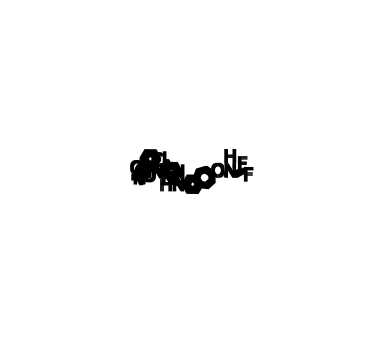 CN(C)S(=O)(=O)c1ccccc1Nc1nc(Nc2ccc3c(c2)CCC(OCNCC(F)F)CC3)ncc1Cl